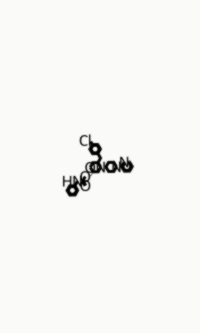 O=C(Nc1ccccc1)OC[C@H]1CN(C2CCN(c3ccccn3)CC2)C(Cc2ccc(Cl)cc2)CO1